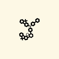 CC1(C)c2ccccc2-c2ccc(N(c3ccc(-c4ccccc4)cc3)c3ccc(C4CCCC5c6ccc7c(c6OC45)-c4ccccc4C7(C)C)cc3)cc21